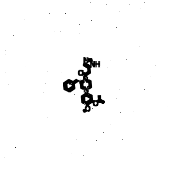 COc1ccc(N2CCN(C(=O)Cc3cnc[nH]3)[C@@H](Cc3ccccc3)C2)cc1OC(C)C